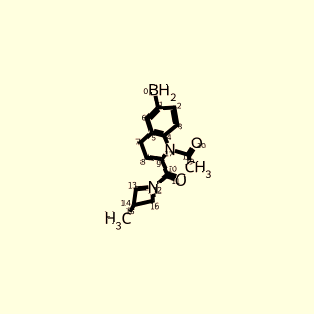 Bc1ccc2c(c1)CCC(C(=O)N1CC(C)C1)N2C(C)=O